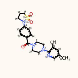 Cc1cnc(N2CCN(C(=O)c3ccc(N4CCCS4(=O)=O)cc3)CC2)c(C#N)c1